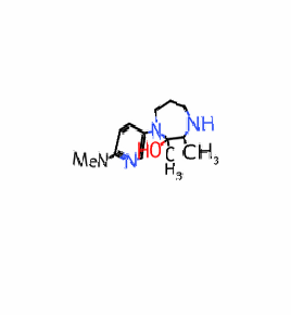 CNc1ccc(N2CCCN[C@@H](C)C2(C)O)cn1